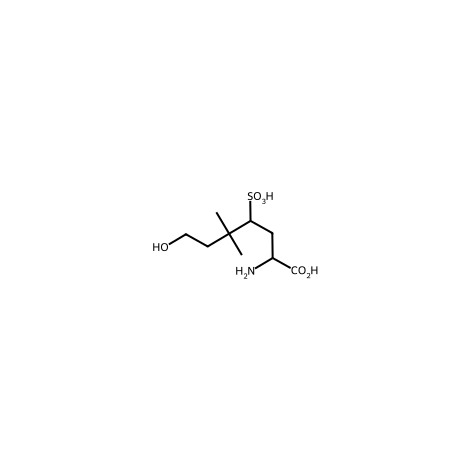 CC(C)(CCO)C(CC(N)C(=O)O)S(=O)(=O)O